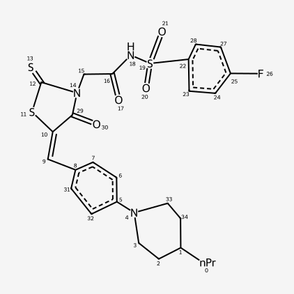 CCCC1CCN(c2ccc(C=C3SC(=S)N(CC(=O)NS(=O)(=O)c4ccc(F)cc4)C3=O)cc2)CC1